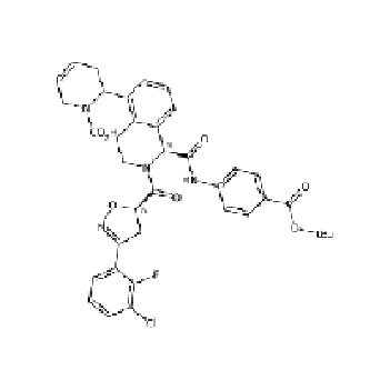 CC(C)(C)OC(=O)c1ccc(NC(=O)[C@@H]2c3cccc(C4CC=CCN4C(=O)O)c3CCN2C(=O)[C@H]2CC(c3cccc(Cl)c3F)=NO2)cc1